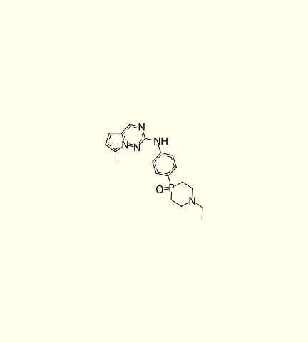 CCN1CCP(=O)(c2ccc(Nc3ncc4ccc(C)n4n3)cc2)CC1